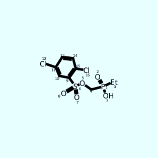 CCP(=O)(O)COS(=O)(=O)c1cc(Cl)ccc1Cl